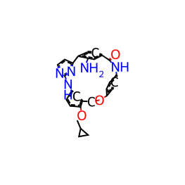 Nc1cc2ccc1-c1ccnc(n1)Nc1ccc(OCC3CC3)c(c1)COc1ccc(cc1)NC2=O